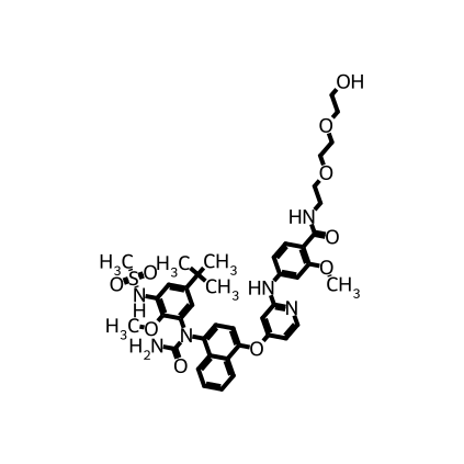 COc1cc(Nc2cc(Oc3ccc(N(C(N)=O)c4cc(C(C)(C)C)cc(NS(C)(=O)=O)c4OC)c4ccccc34)ccn2)ccc1C(=O)NCCOCCOCCO